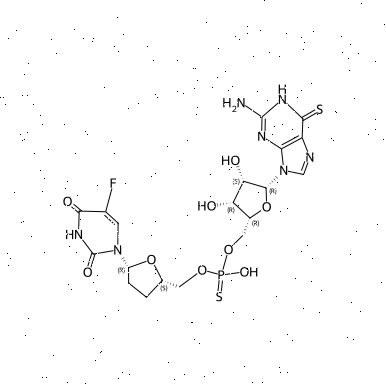 Nc1nc2c(ncn2[C@@H]2O[C@H](COP(O)(=S)OC[C@@H]3CC[C@H](n4cc(F)c(=O)[nH]c4=O)O3)[C@H](O)[C@@H]2O)c(=S)[nH]1